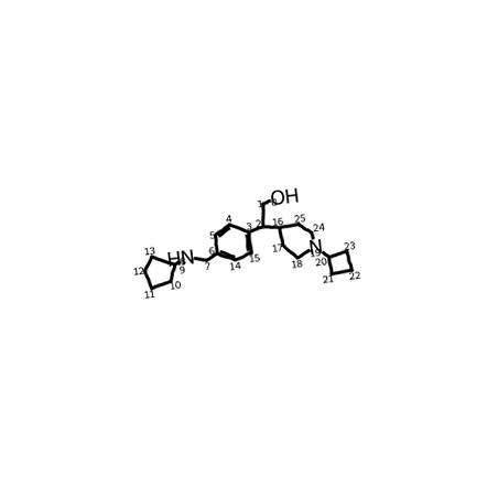 OCC(c1ccc(CNC2CCCC2)cc1)C1CCN(C2CCC2)CC1